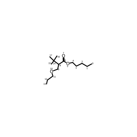 CCCCCOC(=O)C(COCCC)C(C)(C)C